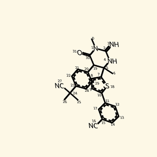 CN1C(=N)NC(C)(c2ccc(-c3cccc(C#N)c3)s2)C(c2ccc(C(C)(C)C#N)cc2)C1=O